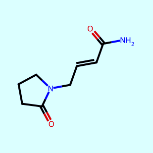 NC(=O)C=CCN1CCCC1=O